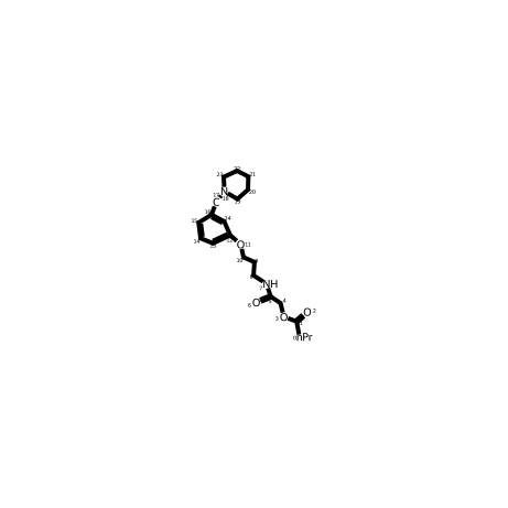 CCCC(=O)OCC(=O)NCCCOc1cccc(CN2CCCCC2)c1